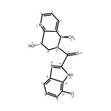 C[C@@H]1c2cccnc2[C@@H](O)CN1C(=O)c1nc2cccc(Cl)c2[nH]1